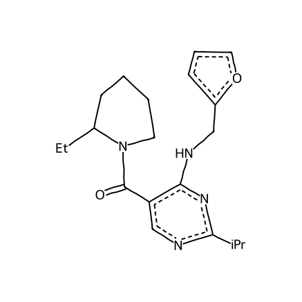 CCC1CCCCN1C(=O)c1cnc(C(C)C)nc1NCc1ccco1